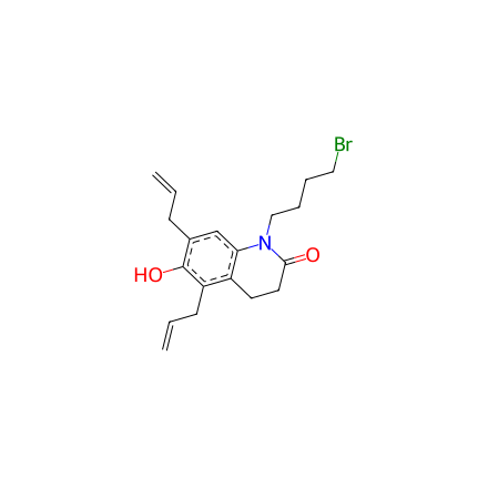 C=CCc1cc2c(c(CC=C)c1O)CCC(=O)N2CCCCBr